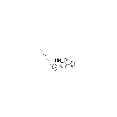 CCCCCCCCc1csc(C2=CC=C(c3cc(C)cs3)C(=N)C2=N)c1